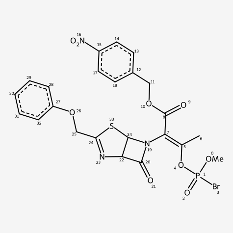 COP(=O)(Br)OC(C)=C(C(=O)OCc1ccc([N+](=O)[O-])cc1)N1C(=O)C2N=C(COc3ccccc3)SC21